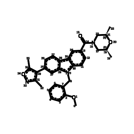 COc1ccccc1Cn1c2ccc(C(=O)N3C[C@@H](C)O[C@@H](C)C3)cc2c2ccc(-c3c(C)noc3C)cc21